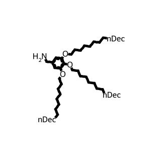 CCCCCCCCCCCCCCCCCCOc1cc(CN)cc(OCCCCCCCCCCCCCCCCCC)c1OCCCCCCCCCCCCCCCCCC